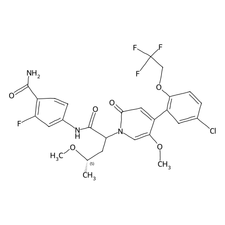 COc1cn(C(C[C@H](C)OC)C(=O)Nc2ccc(C(N)=O)c(F)c2)c(=O)cc1-c1cc(Cl)ccc1OCC(F)(F)F